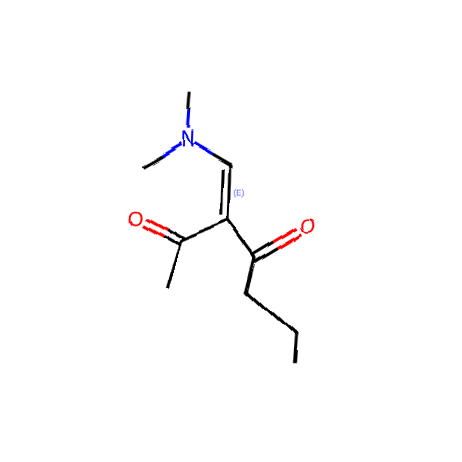 CCCC(=O)/C(=C/N(C)C)C(C)=O